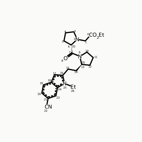 CCOC(=O)CN1CCC[C@H]1C(=O)N1CCC[C@H]1CCc1cc2ccc(C#N)cc2n1CC